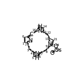 C1=Cc2cc3ccc(cc4nc(cc5ccc(cc1n2)[nH]5)C=C4)[nH]3.[O]=[Os]=[O]